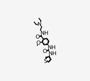 CCN(CC)CCNC(=O)c1ccc(NC(=O)Nc2ccsc2)cc1OC